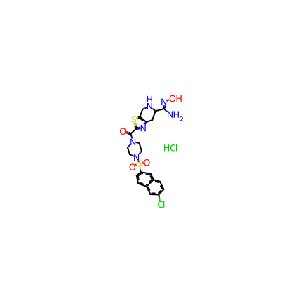 Cl.NC(=NO)C1Cc2nc(C(=O)N3CCN(S(=O)(=O)c4ccc5cc(Cl)ccc5c4)CC3)sc2CN1